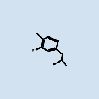 Cc1ccc(CC(C)C)cc1Br